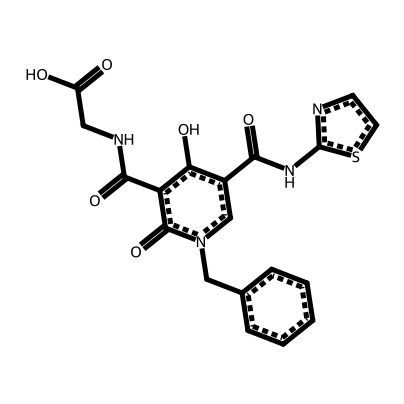 O=C(O)CNC(=O)c1c(O)c(C(=O)Nc2nccs2)cn(Cc2ccccc2)c1=O